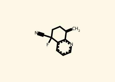 C=C1CCC(F)(C#N)c2cccnc21